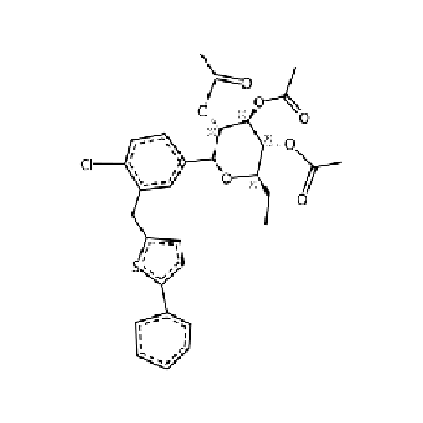 CC[C@H]1OC(c2ccc(Cl)c(Cc3ccc(-c4ccccc4)s3)c2)[C@H](OC(C)=O)[C@@H](OC(C)=O)[C@@H]1OC(C)=O